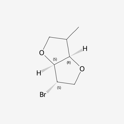 CC1CO[C@H]2[C@@H]1OC[C@@H]2Br